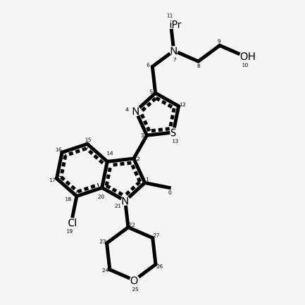 Cc1c(-c2nc(CN(CCO)C(C)C)cs2)c2cccc(Cl)c2n1C1CCOCC1